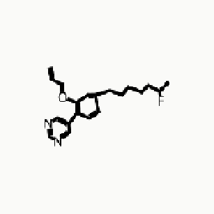 C=CCOc1cc(CCCCCC(C)F)ccc1-c1cncnc1